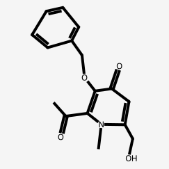 CC(=O)c1c(OCc2ccccc2)c(=O)cc(CO)n1C